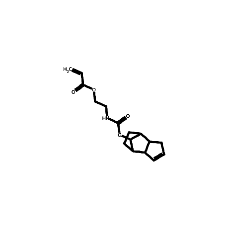 C=CC(=O)OCCNC(=O)OC1C2CCC1C1CC=CC12